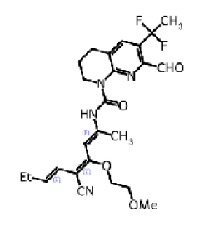 CC/C=C/C(C#N)=C(\C=C(/C)NC(=O)N1CCCc2cc(C(C)(F)F)c(C=O)nc21)OCCOC